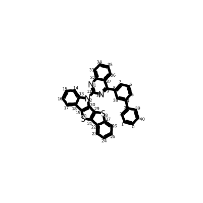 c1ccc(-c2cccc(-c3nc(-n4c5ccccc5c5sc6c7ccccc7sc6c54)nc4ccccc34)c2)cc1